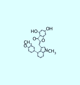 COc1ccc(-c2cccc3c2c(C=C2Oc4cc(O)cc(O)c4C2=O)cn3C)cc1